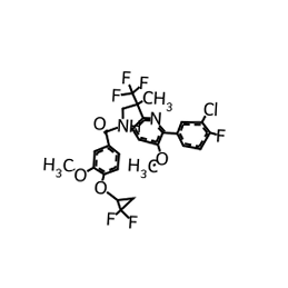 COc1cc(C(=O)NCC(C)(c2ccc(OC)c(-c3ccc(F)c(Cl)c3)n2)C(F)(F)F)ccc1OC1CC1(F)F